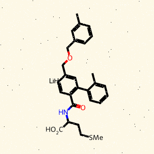 CSCCC(NC(=O)c1ccc(COCc2cccc(C)c2)cc1-c1ccccc1C)C(=O)O.[LiH]